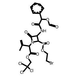 C=C(C)C(C(=O)OCC(Cl)(Cl)Cl)N1C(=O)C(NC(=O)C(OC=O)c2ccccc2)C1S(=O)OCCBr